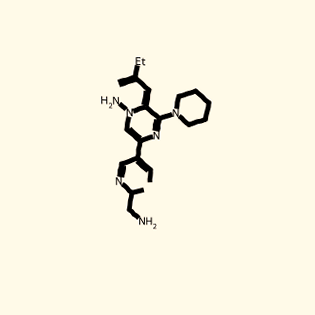 C=C(/C=C1/C(N2CCCCC2)=NC(C(/C=N\C(C)CN)=C/C)=CN1N)CC